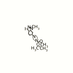 Cn1nc(I)c2ccc(N3CCN(C(=O)OC(C)(C)C)CC3)cc21